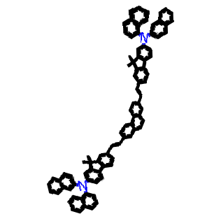 CC1(C)c2cc(/C=C/c3ccc4c(ccc5cc(/C=C/c6ccc7c(c6)C(C)(C)c6cc(N(c8ccc9ccccc9c8)c8cccc9ccccc89)ccc6-7)ccc54)c3)ccc2-c2ccc(N(c3ccc4ccccc4c3)c3cccc4ccccc34)cc21